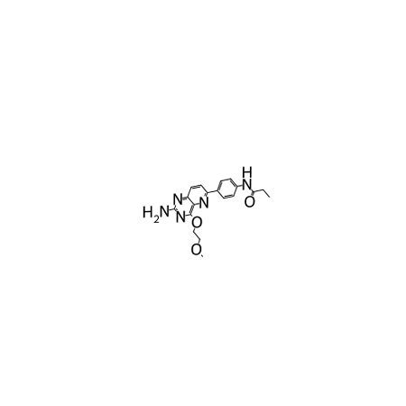 CCC(=O)Nc1ccc(-c2ccc3nc(N)nc(OCCOC)c3n2)cc1